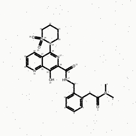 CN(C)C(=O)Cc1ccccc1CNC(=O)c1nc(N2CCCCS2(=O)=O)c2cccnc2c1O